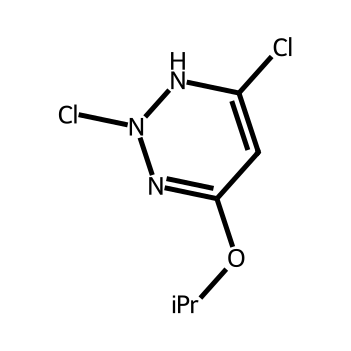 CC(C)OC1=NN(Cl)NC(Cl)=C1